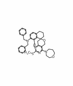 CSc1nc2c(c(N3CCCOCC3)n1)COC1(CCCc3ccc(N(Cc4ccccc4)Cc4ccccc4)c(C#N)c31)C2